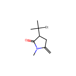 C=C1CC(C(C)(C)CC)C(=O)N1C